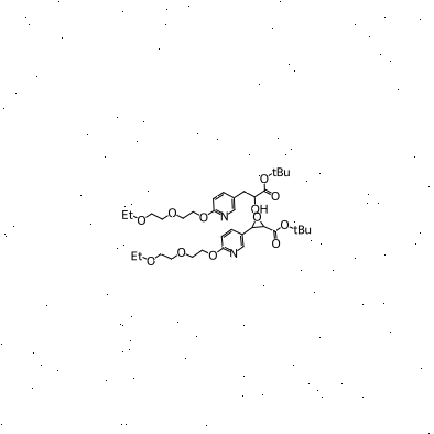 CCOCCOCCOc1ccc(C2OC2C(=O)OC(C)(C)C)cn1.CCOCCOCCOc1ccc(CC(O)C(=O)OC(C)(C)C)cn1